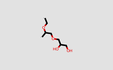 [CH2]COC([CH2])COCC(O)CO